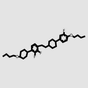 CCCCOc1ccc(C2CCC(CCc3ccc(C4CCC(OCCCC)CC4)c(F)c3F)CC2)cc1F